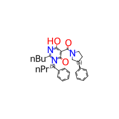 CCCCc1nc(O)c(C(=O)N2CC[C@@H](c3ccccc3)C2)c(=O)n1[C@@H](CCC)c1ccccc1